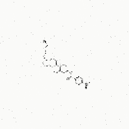 CC(C)CCC[C@@H](C)[C@H]1CCC2C3CC=C4CC(OC(=O)c5ccc([SiH](C)C)cc5)CC[C@]4(C)C3CC[C@@]21C